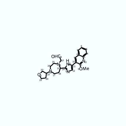 COc1nc2ccccc2cc1-c1cnc(C2CCN(C3CCOC3)CCN2CC=O)[nH]1